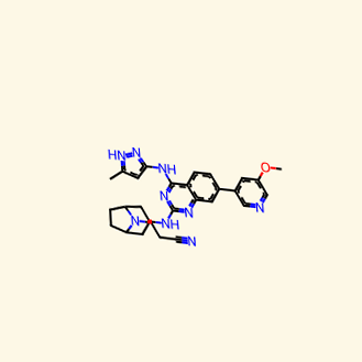 COc1cncc(-c2ccc3c(Nc4cc(C)[nH]n4)nc(NC4CC5CCC(C4)N5CCC#N)nc3c2)c1